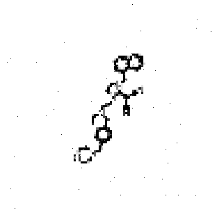 CCN(CCN1CCN(Cc2cccc3ccccc23)C1=C(C#N)C#N)Cc1ccc(CN2CCOCC2)cc1